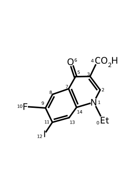 CCn1cc(C(=O)O)c(=O)c2cc(F)c(I)cc21